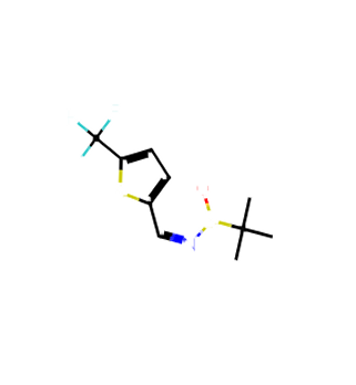 CC(C)(C)[S+]([O-])/N=C\c1ccc(C(F)(F)F)s1